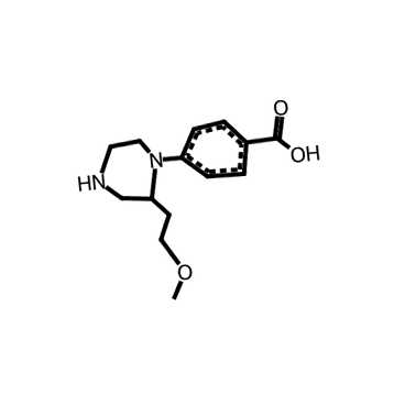 COCCC1CNCCN1c1ccc(C(=O)O)cc1